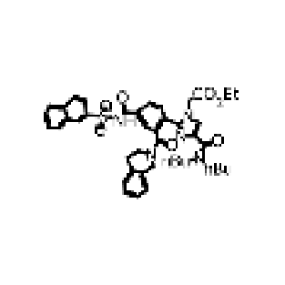 CCCCN(CCCC)C(=O)c1cn(CC(=O)OCC)c(-c2ccc(C(=O)NS(=O)(=O)c3ccc4ccccc4c3)cc2C(=O)N2CCc3ccccc3C2)n1